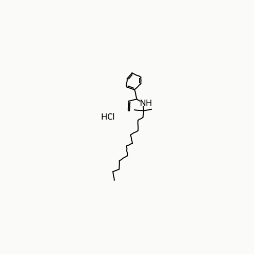 C=CC(NC(C)(C)CCCCCCCCCCC)c1ccccc1.Cl